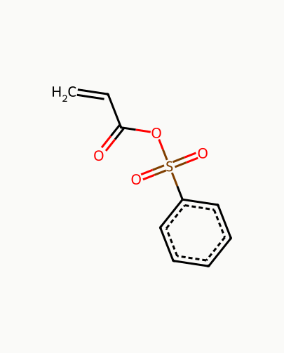 C=CC(=O)OS(=O)(=O)c1ccccc1